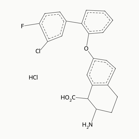 Cl.NC1CCc2ccc(Oc3ccccc3-c3ccc(F)c(Cl)c3)cc2C1C(=O)O